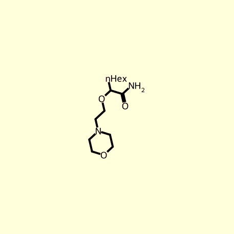 CCCCCCC(OCCN1CCOCC1)C(N)=O